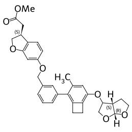 COC(=O)C[C@@H]1COc2cc(OCc3cccc(-c4c(C)cc(OC5CO[C@H]6OCC[C@@H]56)c5c4CC5)c3)ccc21